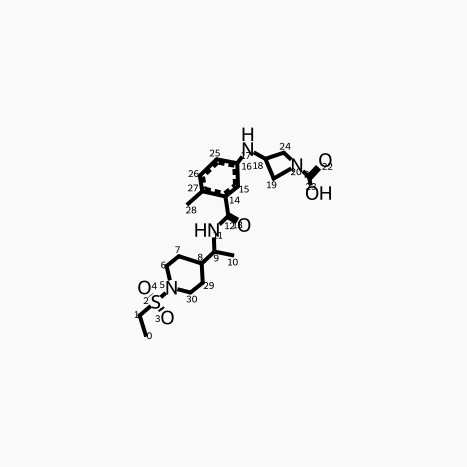 CCS(=O)(=O)N1CCC(C(C)NC(=O)c2cc(NC3CN(C(=O)O)C3)ccc2C)CC1